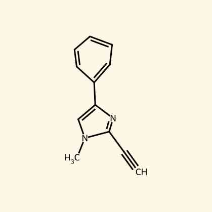 C#Cc1nc(-c2ccccc2)cn1C